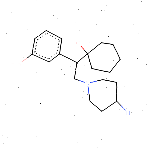 Bc1cccc(C(CN2CCC(N)CC2)C2(O)CCCCC2)c1